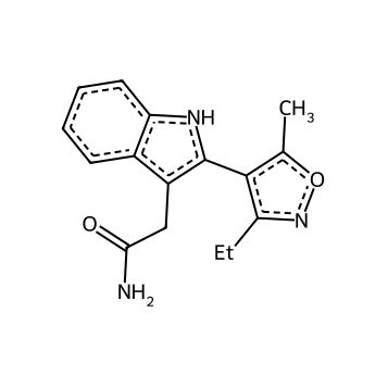 CCc1noc(C)c1-c1[nH]c2ccccc2c1CC(N)=O